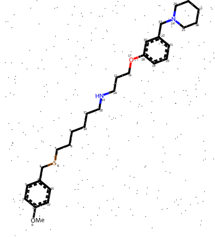 COc1ccc(CSCCCCCCNCCCOc2cccc(CN3CCCCC3)c2)cc1